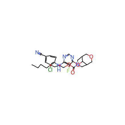 CCCCCCCCOC(=O)N1CC2COCC(C1)C2Oc1ncnc(Nc2ccc(C#N)cc2Cl)c1F